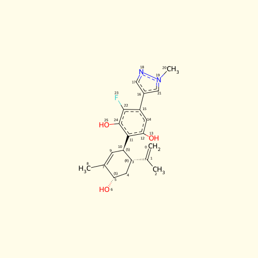 C=C(C)[C@@H]1C[C@H](O)C(C)=C[C@H]1c1c(O)cc(-c2cnn(C)c2)c(F)c1O